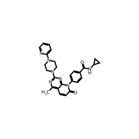 Cc1nc(N2CCN(c3ccccn3)CC2)nc2c1ccc(=O)n2-c1ccc(C(=O)NC2CC2)cc1